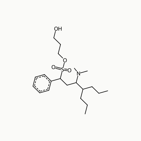 CCCC(CCC)C(CC(c1ccccc1)S(=O)(=O)OCCCO)N(C)C